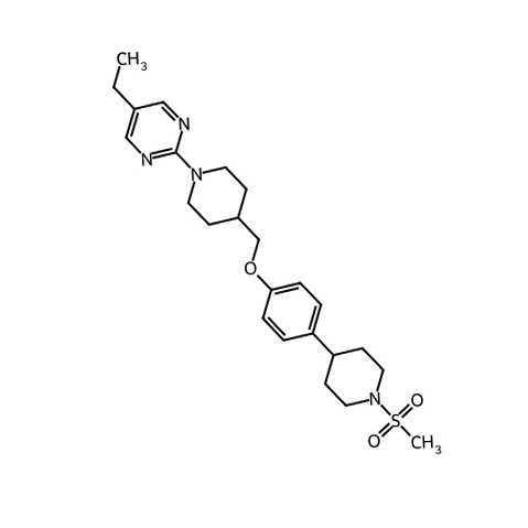 CCc1cnc(N2CCC(COc3ccc(C4CCN(S(C)(=O)=O)CC4)cc3)CC2)nc1